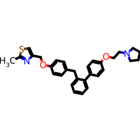 Cc1nc(COc2ccc(Cc3ccccc3-c3ccc(OCCN4CCCC4)cc3)cc2)cs1